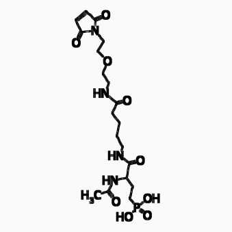 CC(=O)NC(CCP(=O)(O)O)C(=O)NCCCCC(=O)NCCOCCN1C(=O)C=CC1=O